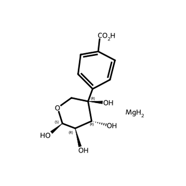 O=C(O)c1ccc([C@@]2(O)CO[C@H](O)[C@H](O)[C@H]2O)cc1.[MgH2]